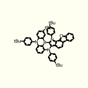 CC(C)(C)c1ccc(N2c3ccc(C(C)(C)C)cc3B3c4c2cccc4N(c2ccc(C(C)(C)C)cc2)c2c3n(-c3ccc(C(C)(C)C)cc3)c3c2ccc2c4ccccc4oc23)cc1